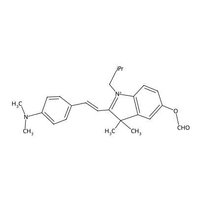 CC(C)C[N+]1=C(/C=C/c2ccc(N(C)C)cc2)C(C)(C)c2cc(OC=O)ccc21